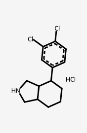 Cl.Clc1ccc(C2CCCC3CNCC32)cc1Cl